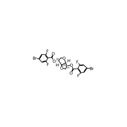 O=C(O[C@H]1CO[C@@H]2[C@H]1OC[C@H]2OC(=O)c1c(F)cc(Br)cc1F)c1c(F)cc(Br)cc1F